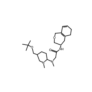 CN(CC(=O)N[C@H]1COCC2=C(CCC=C2)C1)C1CCC(COC(C)(C)C)CN1C